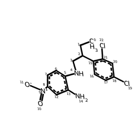 CCC(CNc1ccc([N+](=O)[O-])cc1N)c1ccc(Cl)cc1Cl